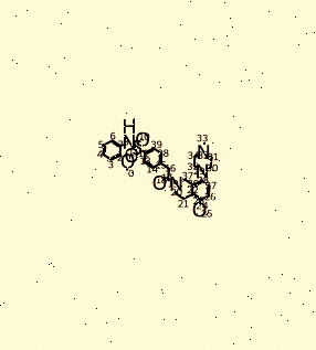 COc1ccccc1NS(=O)(=O)c1ccc(CC(=O)N2CCc3c(OC)ccc(N4CCN(C)CC4)c3C2)cc1